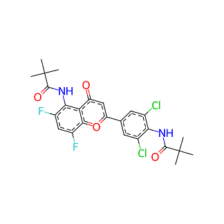 CC(C)(C)C(=O)Nc1c(Cl)cc(-c2cc(=O)c3c(NC(=O)C(C)(C)C)c(F)cc(F)c3o2)cc1Cl